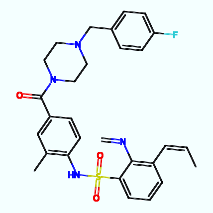 C=Nc1c(/C=C\C)cccc1S(=O)(=O)Nc1ccc(C(=O)N2CCN(Cc3ccc(F)cc3)CC2)cc1C